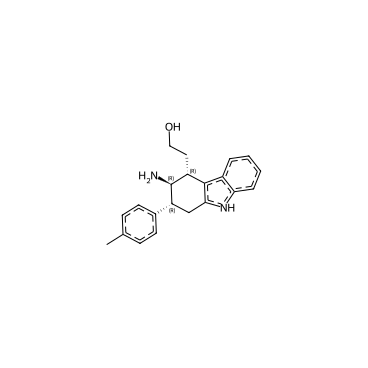 Cc1ccc([C@H]2Cc3[nH]c4ccccc4c3[C@@H](CCO)[C@@H]2N)cc1